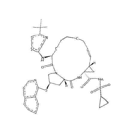 CC(C)(C)c1csc(N[C@H]2CCCCC/C=C\[C@@H]3C[C@@]3(C(=O)NS(=O)(=O)C3CC3)NC(=O)[C@@H]3C[C@@H](Oc4nccc5ccccc45)CN3C2=O)n1